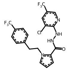 O=C(NNc1ncc(C(F)(F)F)cc1Cl)c1cccn1CCc1ccc(C(F)(F)F)cc1